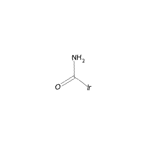 N[C](=O)[Ir]